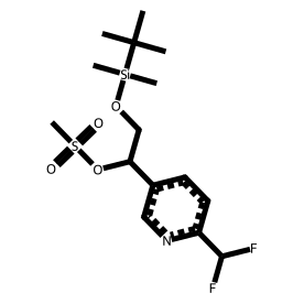 CC(C)(C)[Si](C)(C)OCC(OS(C)(=O)=O)c1ccc(C(F)F)nc1